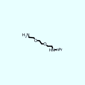 CCCNCCOCCOCCN